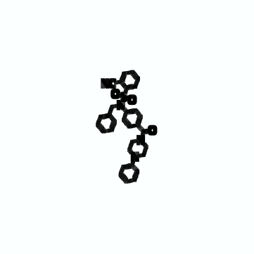 N#Cc1ccccc1S(=O)(=O)N(Cc1ccccc1)c1ccc(C(=O)N2CCN(c3ccccc3)CC2)cc1